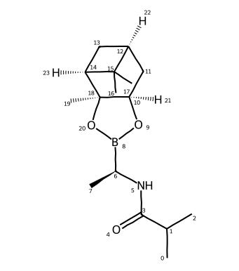 CC(C)C(=O)N[C@@H](C)B1O[C@@H]2C[C@@H]3C[C@@H](C3(C)C)[C@]2(C)O1